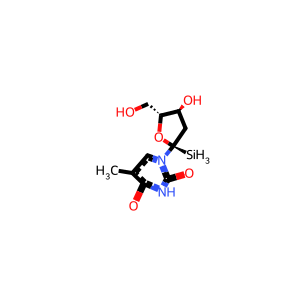 Cc1cn([C@@]2([SiH3])C[C@H](O)[C@@H](CO)O2)c(=O)[nH]c1=O